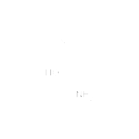 NCC(O)C[S]